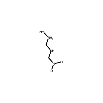 CCC[SiH2]CNCN(CC)CC